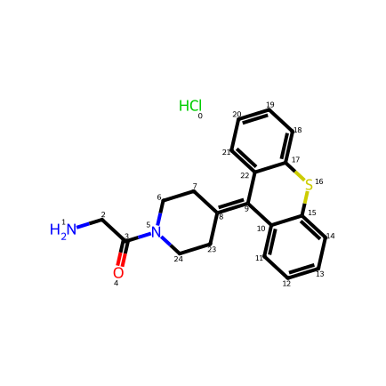 Cl.NCC(=O)N1CCC(=C2c3ccccc3Sc3ccccc32)CC1